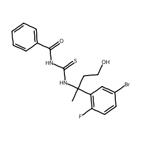 CC(CCO)(NC(=S)NC(=O)c1ccccc1)c1cc(Br)ccc1F